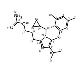 Cc1cc(C)cc(Sc2c(C(C)C)nc(CCCOC(N)=O)n2CC2CC2)c1